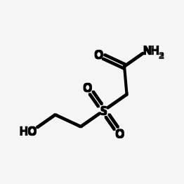 NC(=O)CS(=O)(=O)CCO